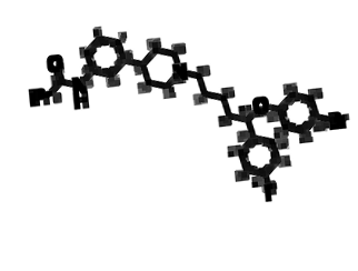 CC(C)C(=O)Nc1cccc(C2CCN(CCCCC(Oc3ccc(Br)cc3)c3ccc(F)cc3)CC2)c1